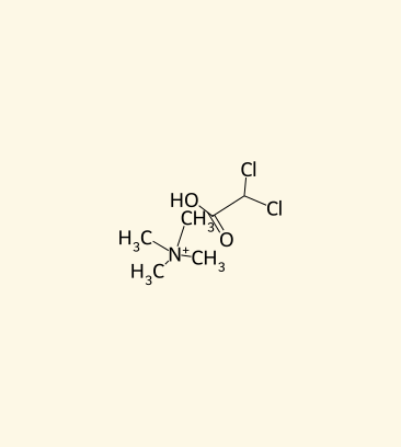 C[N+](C)(C)C.O=C(O)C(Cl)Cl